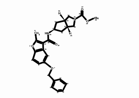 Cc1oc2ccc(OCc3ccccc3)cc2c1C(=O)N[C@H]1C[C@@H]2CN(C(=O)OC(C)(C)C)C[C@@H]2C1